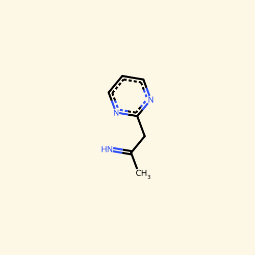 CC(=N)Cc1ncccn1